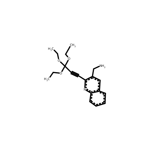 CCOC(C#Cc1nc2ccccc2cc1CN)(OCC)OCC